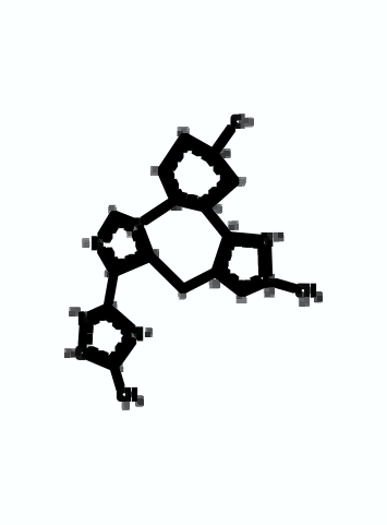 Cc1nc(-c2ncn3c2Cc2cn(C)nc2-c2cc(Cl)ccc2-3)no1